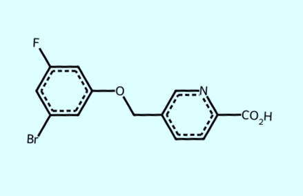 O=C(O)c1ccc(COc2cc(F)cc(Br)c2)cn1